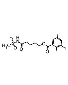 CS(=O)(=O)NC(=O)CCCCOC(=O)c1cc(I)cc(I)c1I